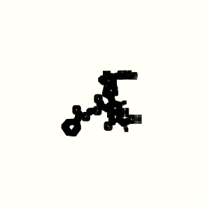 CSc1ncn2cc(C3=C(C(=O)OCOC(=O)C4CCCCC4)N4C(=O)[C@H]([C@@H](C)O)[C@H]4[C@H]3C)sc12